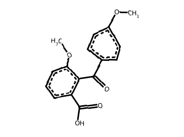 COc1ccc(C(=O)c2c(OC)cccc2C(=O)O)cc1